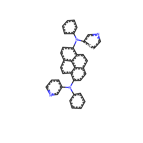 c1ccc(N(c2cccnc2)c2ccc3ccc4c(N(c5ccccc5)c5cccnc5)ccc5ccc2c3c54)cc1